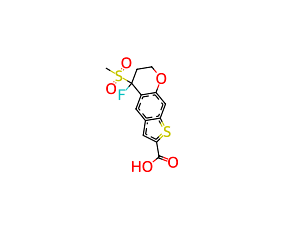 CS(=O)(=O)C1(F)CCOc2cc3sc(C(=O)O)cc3cc21